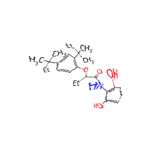 CCC(Oc1ccc(C(C)(C)CC)cc1C(C)(C)CC)C(=O)Nc1c(O)cccc1O